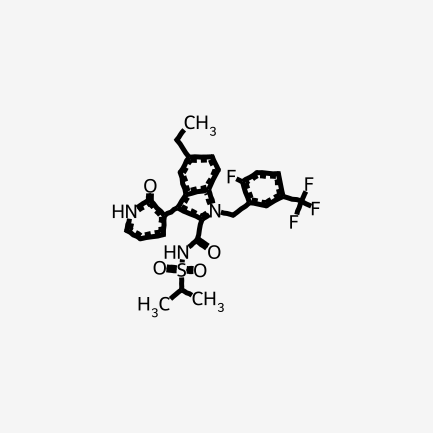 CCc1ccc2c(c1)c(-c1ccc[nH]c1=O)c(C(=O)NS(=O)(=O)C(C)C)n2Cc1cc(C(F)(F)F)ccc1F